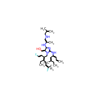 C=C/C=C(\C=C(\C)CC)NC1=NC(N/C(C)=C/NCC(=C)C)/C(=C\O)N1CC(/C=C/F)=C(/CC)C/C=C(\C)F